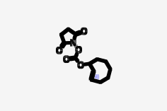 O=C(OC1/C=C/CCCCC1)ON1C(=O)CCC1=O